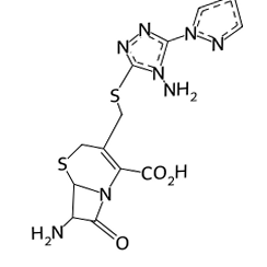 NC1C(=O)N2C(C(=O)O)=C(CSc3nnc(-n4cccn4)n3N)CSC12